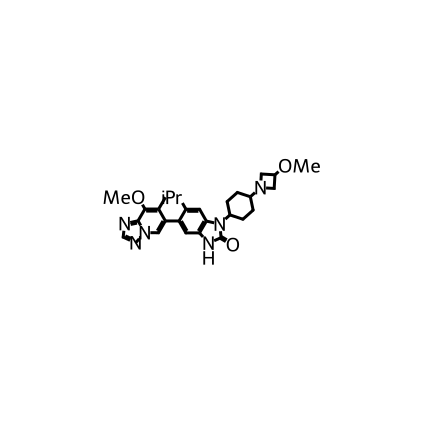 COc1c(C)c(-c2cc3[nH]c(=O)n(C4CCC(N5CC(OC)C5)CC4)c3cc2C(C)C)cn2ncnc12